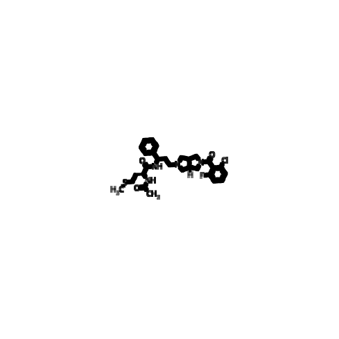 CSCC[C@H](NC(C)=O)C(=O)NC(CCN1CC2CN(C(=O)c3c(F)cccc3Cl)C[C@@H]2C1)c1ccccc1